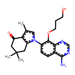 Cc1cn(-c2ccc3c(N)ncnc3c2OCCCO)c2c1C(=O)CC(C)(C)C2